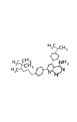 CC(C)c1ccc(-c2cc(-c3ccc(CCCC(C)C(C)(C)C)cc3)nc3ncnc(N)c23)cc1